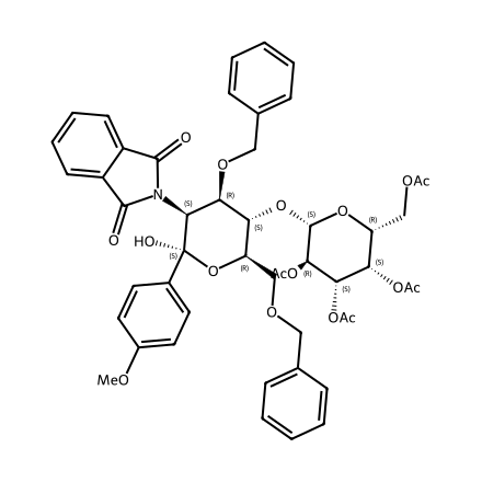 COc1ccc([C@]2(O)O[C@H](COCc3ccccc3)[C@@H](O[C@@H]3O[C@H](COC(C)=O)[C@H](OC(C)=O)[C@H](OC(C)=O)[C@H]3OC(C)=O)[C@H](OCc3ccccc3)[C@@H]2N2C(=O)c3ccccc3C2=O)cc1